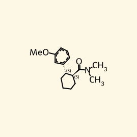 COc1cccc([C@H]2CCCC[C@@H]2C(=O)N(C)C)c1